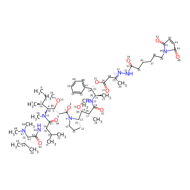 CC[C@H](C)[C@@H]([C@@H](CC(=O)N1CCC[C@H]1[C@H](OC)[C@@H](C)C(=O)N[C@H](C)[C@@H](OC(=O)C/C(C)=N/NC(=O)CCCCCN1C(=O)C=CC1=O)c1ccccc1)OC)N(C)C(=O)[C@@H](NC(=O)[C@H](C(C)C)N(C)C)C(C)C